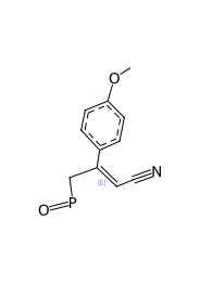 COc1ccc(/C(=C\C#N)CP=O)cc1